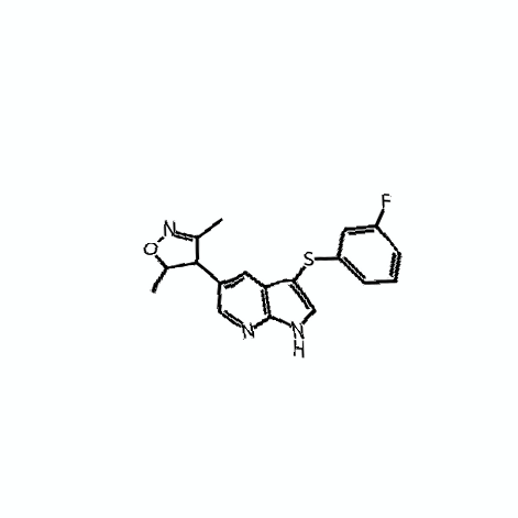 CC1=NOC(C)C1c1cnc2[nH]cc(Sc3cccc(F)c3)c2c1